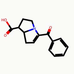 O=C(C1=CCC2C(C(=O)O)CCN12)c1ccccc1